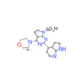 C[C@@H]1COCCN1c1nc(-c2ccnc3[nH]ccc23)nc2c1ccn2S(=O)(=O)O